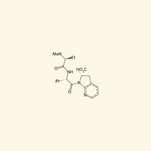 CC[C@H](NC)C(=O)N[C@H](C(=O)N1c2ncccc2C[C@H]1C(=O)O)C(C)C